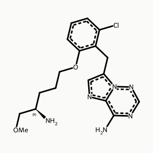 COC[C@H](N)CCCOc1cccc(Cl)c1Cc1cnc2c(N)ncnn12